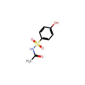 CC(=O)NS(=O)(=O)c1ccc(O)cc1